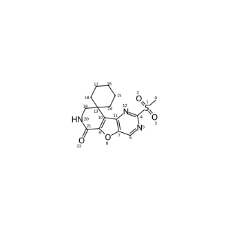 CS(=O)(=O)c1ncc2oc3c(c2n1)C1(CCCCC1)CNC3=O